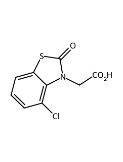 O=C(O)Cn1c(=O)sc2cccc(Cl)c21